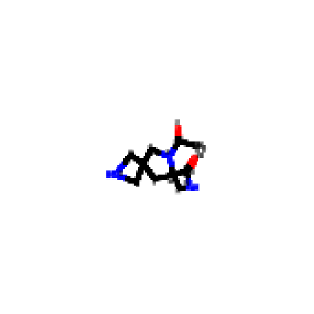 CC(=O)N1CC2(CNC2)CC12CNC2=O